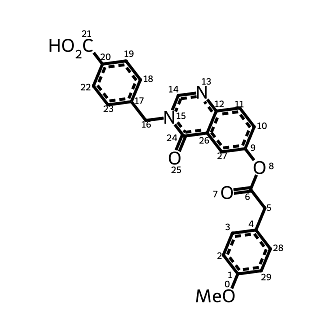 COc1ccc(CC(=O)Oc2ccc3ncn(Cc4ccc(C(=O)O)cc4)c(=O)c3c2)cc1